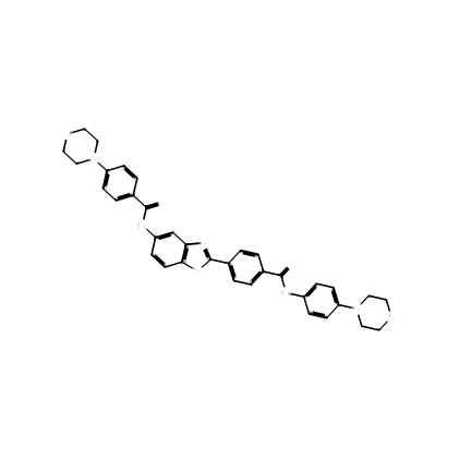 O=C(Nc1ccc(N2CCNCC2)cc1)c1ccc(-c2nc3cc(NC(=O)c4ccc(N5CCNCC5)cc4)ccc3[nH]2)cc1